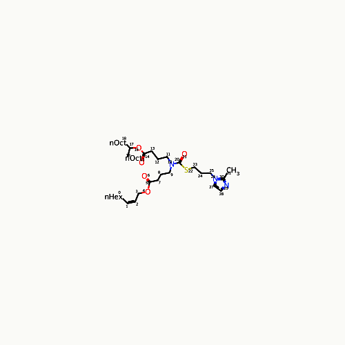 CCCCCC/C=C\COC(=O)CCCN(CCCC(=O)OC(CCCCCCCC)CCCCCCCC)C(=O)SCCCn1ccnc1C